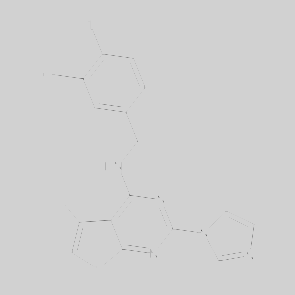 Cc1csc2nc(-n3ccnc3)nc(NCc3ccc(Cl)c(Cl)c3)c12